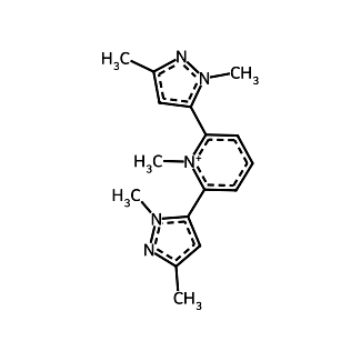 Cc1cc(-c2cccc(-c3cc(C)nn3C)[n+]2C)n(C)n1